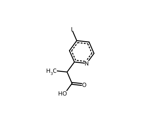 CC(C(=O)O)c1cc(I)ccn1